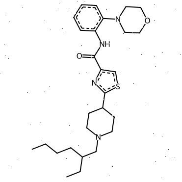 CCCCC(CC)CN1CCC(c2nc(C(=O)Nc3ccccc3N3CCOCC3)cs2)CC1